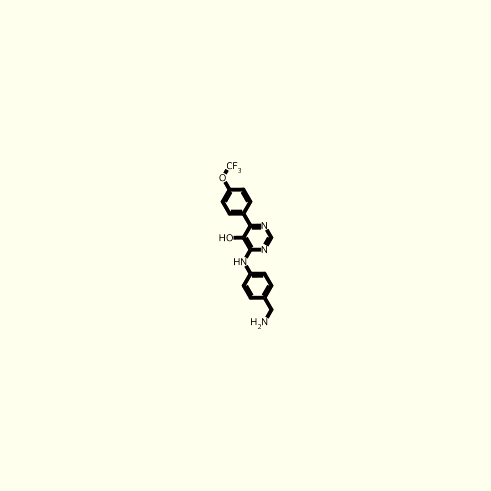 NCc1ccc(Nc2ncnc(-c3ccc(OC(F)(F)F)cc3)c2O)cc1